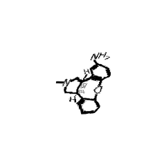 CN1C[C@@H]2c3ccccc3Oc3ccc(N)cc3[C@H]2C1